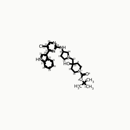 CC(C)(C)OC(=O)N1CCC(O)(CN2CCC(Nc3ncc(Cl)c(-c4c[nH]c5ccccc45)n3)C2)CC1